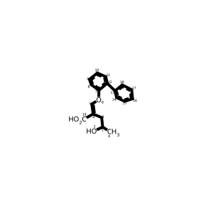 CC(O)CC(=COc1ccccc1-c1ccccc1)C(=O)O